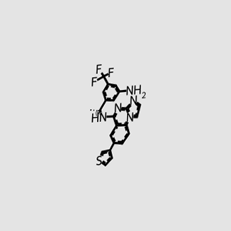 C[C@@H](Nc1nc2nccn2c2ccc(-c3ccsc3)cc12)c1cc(N)cc(C(F)(F)F)c1